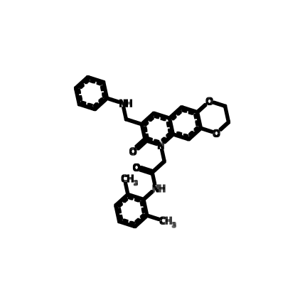 Cc1cccc(C)c1NC(=O)Cn1c(=O)c(CNc2ccccc2)cc2cc3c(cc21)OCCO3